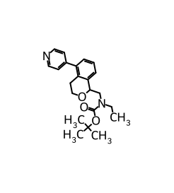 CCN(CC1OCCc2c(-c3ccncc3)cccc21)C(=O)OC(C)(C)C